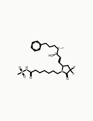 C[C@@H](CCCc1ccccc1)[C@H](O)C=CC1CC(F)(F)C(=O)N1CCCCCCC(=O)NS(C)(=O)=O